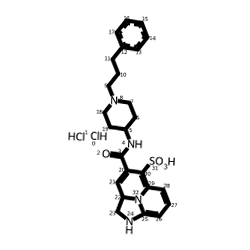 Cl.Cl.O=C(NC1CCN(CCCc2ccccc2)CC1)C1=CC2CNC3=CC=CC(=C1S(=O)(=O)O)N32